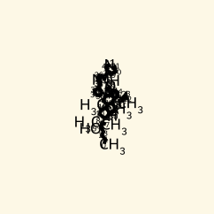 CCCC[C@H](O)C(C)(C)[C@@H]1CC[C@]2(C)[C@H](CC[C@@H]3[C@H]4[C@H](C5(C)CC5)CC[C@]4(C(=O)N4CCCC4c4ncc(-c5cccnc5)[nH]4)CC[C@]32C)C1